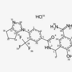 CC(NC(=O)c1ccc(-n2cnc3c2CCC3)c(C(F)(F)F)c1)c1cc(C(=N)N)ccc1O.Cl